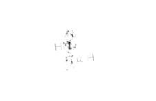 CCOc1ccccc1CSc1nc2cnccc2[nH]1